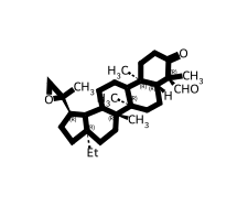 CC[C@]12CC[C@@H](C3(C)CO3)C1C1CCC3[C@@]4(C)CCC(=O)[C@@](C)(C=O)[C@@H]4CC[C@@]3(C)[C@]1(C)CC2